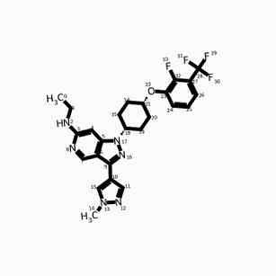 CCNc1cc2c(cn1)c(-c1cnn(C)c1)nn2[C@H]1CC[C@@H](Oc2cccc(C(F)(F)F)c2F)CC1